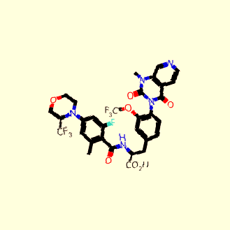 Cc1cc(N2CCOC[C@@H]2C(F)(F)F)cc(F)c1C(=O)N[C@@H](Cc1ccc(-n2c(=O)c3ccncc3n(C)c2=O)c(OC(F)(F)F)c1)C(=O)O